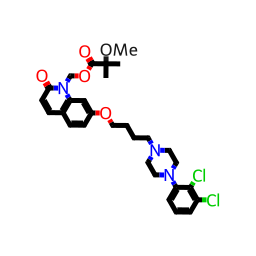 COC(C)(C)C(=O)OCn1c(=O)ccc2ccc(OCCCCN3CCN(c4cccc(Cl)c4Cl)CC3)cc21